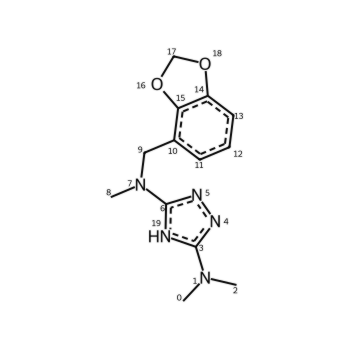 CN(C)c1nnc(N(C)Cc2cccc3c2OCO3)[nH]1